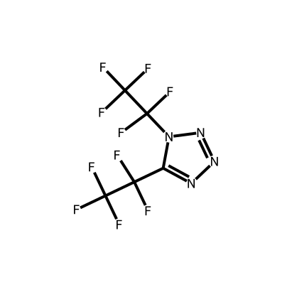 FC(F)(F)C(F)(F)c1nnnn1C(F)(F)C(F)(F)F